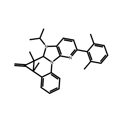 C=C1C2(C)c3ccccc3N3c4nc(-c5c(C)cccc5C)ccc4N(C(C)C)C3C12C